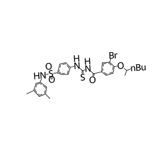 CCCCC(C)Oc1ccc(C(=O)NC(=S)Nc2ccc(S(=O)(=O)Nc3cc(C)cc(C)c3)cc2)cc1Br